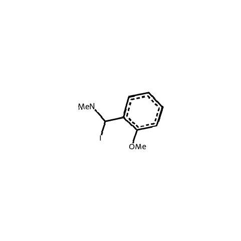 CNC(I)c1ccccc1OC